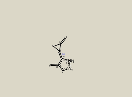 C=C1C/C1=c1/[nH]ncc1=C